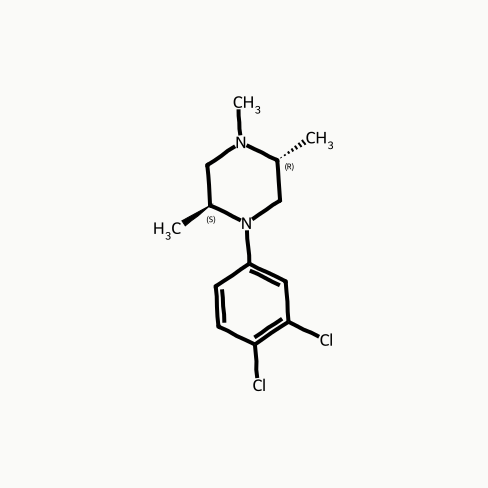 C[C@@H]1CN(c2ccc(Cl)c(Cl)c2)[C@@H](C)CN1C